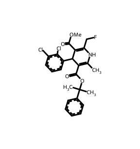 COC(=O)C1=C(CF)NC(C)=C(C(=O)OC(C)(C)c2ccccc2)C1c1cccc(Cl)c1Cl